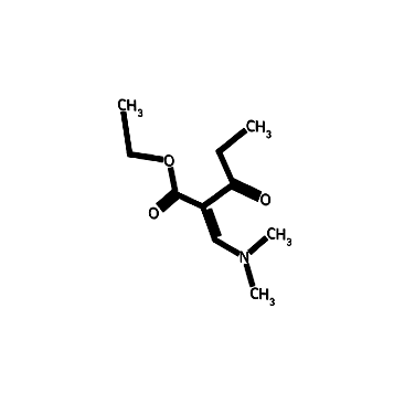 CCOC(=O)/C(=C/N(C)C)C(=O)CC